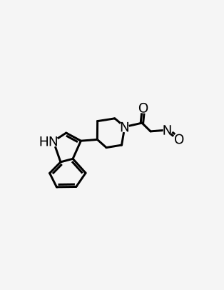 O=NCC(=O)N1CCC(c2c[nH]c3ccccc23)CC1